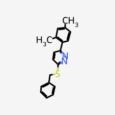 Cc1ccc(-c2ccc(SCc3ccccc3)nn2)c(C)c1